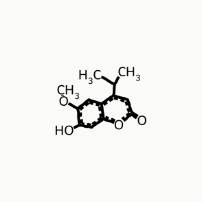 COc1cc2c(C(C)C)cc(=O)oc2cc1O